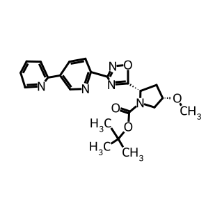 CO[C@H]1C[C@@H](c2nc(-c3ccc(-c4ccccn4)cn3)no2)N(C(=O)OC(C)(C)C)C1